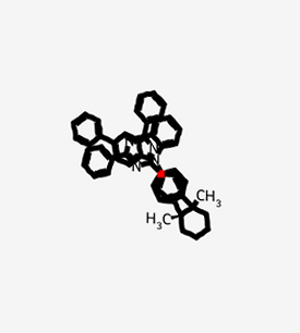 CC1(c2ccc(-c3nc(-c4ccccc4)nc(-c4ccccc4)n3)cc2)CCCC[C@]1(C)c1ccc(-n2c3ccccc3c3cc(-c4ccccc4)ccc32)cc1